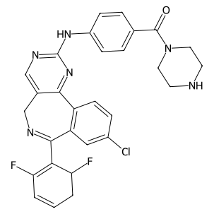 O=C(c1ccc(Nc2ncc3c(n2)-c2ccc(Cl)cc2C(C2=C(F)C=CCC2F)=NC3)cc1)N1CCNCC1